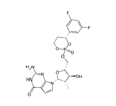 C[C@H]1[C@H](O)[C@@H](COP2(=O)OCC[C@H](c3cc(F)cc(F)c3)O2)O[C@H]1n1ccc2c(=O)[nH]c(N)nc21